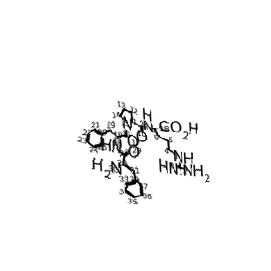 N=C(N)NCCC[C@H](NC(=O)[C@@H]1CCCN1C(=O)[C@H](Cc1ccccc1)NC(=O)[C@@H](N)Cc1ccccc1)C(=O)O